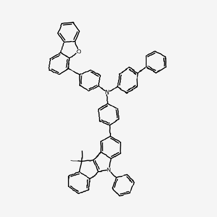 CC1(C)c2ccccc2-c2c1c1cc(-c3ccc(N(c4ccc(-c5ccccc5)cc4)c4ccc(-c5cccc6c5oc5ccccc56)cc4)cc3)ccc1n2-c1ccccc1